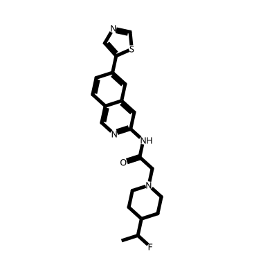 CC(F)C1CCN(CC(=O)Nc2cc3cc(-c4cncs4)ccc3cn2)CC1